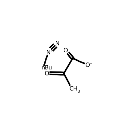 CC(=O)C(=O)[O-].CCCC[N+]#N